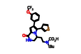 CC(C)(C)N(CCC1CNC(=O)c2cc(-c3cccc(OC(F)(F)F)c3)c(-c3ccsc3)n21)C(=O)O